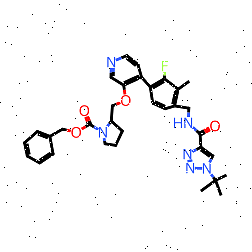 Cc1c(CNC(=O)c2cn(C(C)(C)C)nn2)ccc(-c2ccncc2OCC2CCCN2C(=O)OCc2ccccc2)c1F